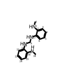 CNc1ccccc1NCNc1ccccc1NC